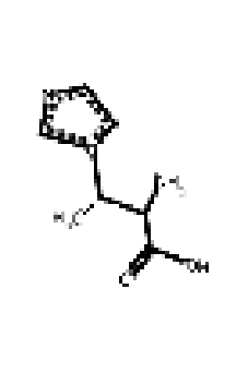 C[C@@H](C(N)C(=O)O)n1ccnc1